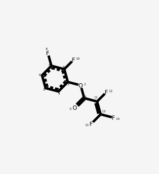 O=C(Oc1cccc(F)c1F)C(F)=C(F)F